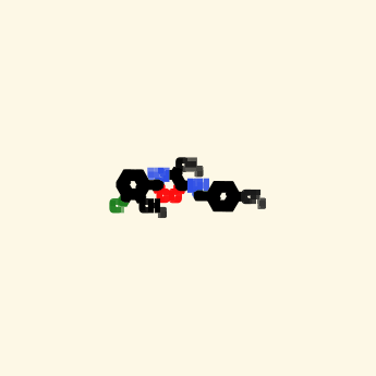 Cc1c(Cl)cccc1C(=O)NC(C)C(=O)NCc1ccc(C(F)(F)F)cc1